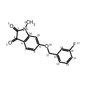 CN1C(=O)C(=O)c2ccc(OCc3cccc(F)c3)cc21